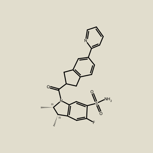 C[C@H]1c2cc(F)c(S(N)(=O)=O)cc2N(C(=O)C2Cc3ccc(-c4ccccn4)cc3C2)[C@H]1C